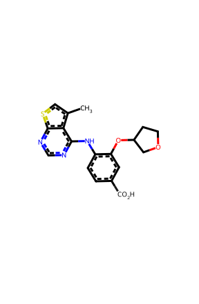 Cc1csc2ncnc(Nc3ccc(C(=O)O)cc3OC3CCOC3)c12